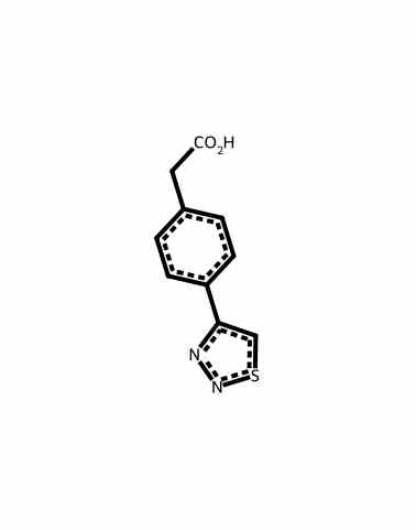 O=C(O)Cc1ccc(-c2csnn2)cc1